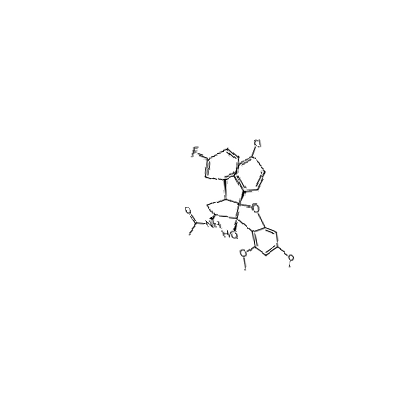 COc1cc(OC)c2c(c1)O[C@@]1(c3ccc(Cl)cc3)[C@H](c3cccc(F)c3)C[C@H](NC(C)=O)[C@@]21O